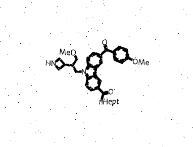 CCCCCCCC(=O)c1ccc2c(c1)c1cc(C(=O)c3ccc(OC)cc3)ccc1n2CC(COC)C1CNC1